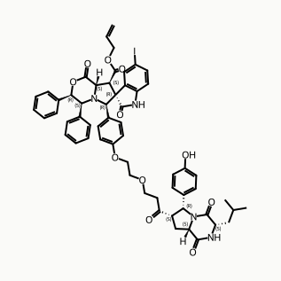 C=CCOC(=O)[C@@H]1[C@H]2C(=O)O[C@H](c3ccccc3)[C@H](c3ccccc3)N2[C@H](c2ccc(OCCOCCC(=O)[C@H]3C[C@H]4C(=O)N[C@@H](CC(C)C)C(=O)N4[C@H]3c3ccc(O)cc3)cc2)[C@@]12C(=O)Nc1ccc(I)cc12